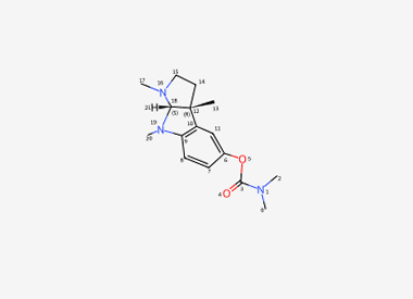 CN(C)C(=O)Oc1ccc2c(c1)[C@@]1(C)CCN(C)[C@H]1N2C